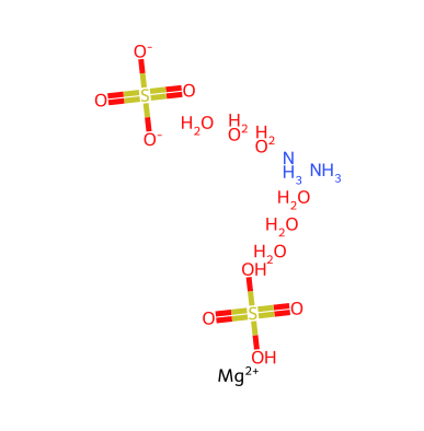 N.N.O.O.O.O.O.O.O=S(=O)(O)O.O=S(=O)([O-])[O-].[Mg+2]